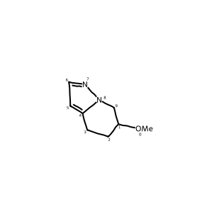 COC1CCc2ccnn2C1